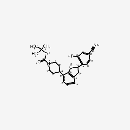 CC(C)(C)OC(=O)N1CCC(c2cccc3c2OC(c2ccc(C#N)cc2F)C3)CC1